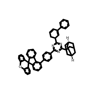 C1=CC(c2ccccc2)=CC(c2nc(-c3ccc(-c4cccc5c4-c4ccccc4C54c5ccccc5Oc5ccccc54)cc3)nc(C34CC5C[C@H](C3)C[C@H](C5)C4)n2)C1